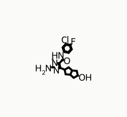 Cn1c(N)nc(C2CC3CC(O)CC3C2)c1C(=O)Nc1ccc(F)c(Cl)c1